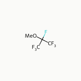 COC(F)(C(F)(F)F)C(F)(F)F